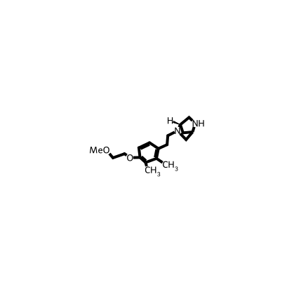 COCCOc1ccc(CCN2CC3C[C@H]2CN3)c(C)c1C